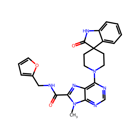 Cn1c(C(=O)NCc2ccco2)nc2c(N3CCC4(CC3)C(=O)Nc3ccccc34)ncnc21